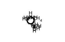 C.C.C1CCCCNNNNCCC1.O=[PH](O)O